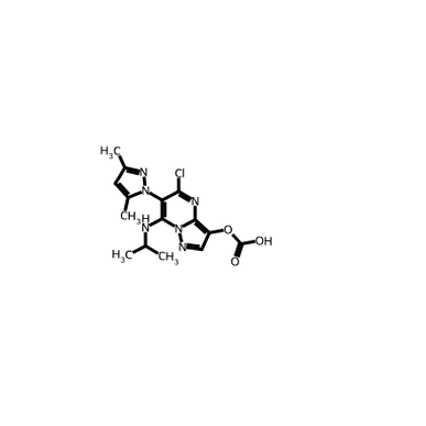 Cc1cc(C)n(-c2c(Cl)nc3c(OC(=O)O)cnn3c2NC(C)C)n1